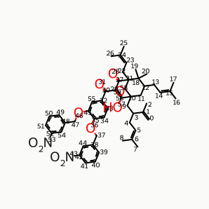 C=C(C)C(CC=C(C)C)CC12CC(CC=C(C)C)C(C)(C)C(CC=C(C)C)(C(=O)C(C(=O)c3ccc(OCc4cccc([N+](=O)[O-])c4)c(OCc4cccc([N+](=O)[O-])c4)c3)=C1O)C2=O